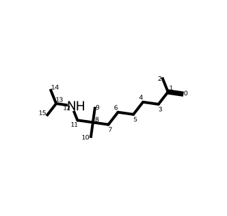 C=C(C)CCCCCC(C)(C)CNC(C)C